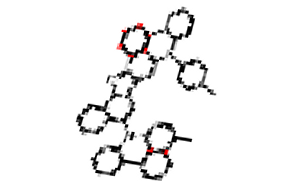 Cc1ccc(N(c2ccccc2-c2ccccc2)c2cc3c4cc(N(c5ccc(C)cc5)c5ccccc5-c5ccccc5)c5ccccc5c4oc3c3ccccc23)cc1